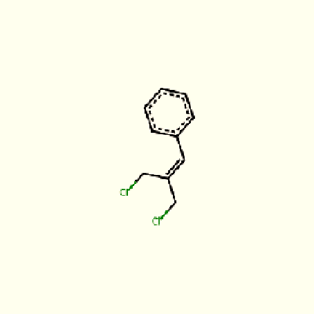 ClCC(=Cc1ccccc1)CCl